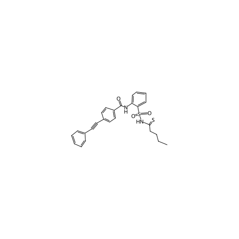 CCCCC(=S)NS(=O)(=O)c1ccccc1NC(=O)c1ccc(C#Cc2ccccc2)cc1